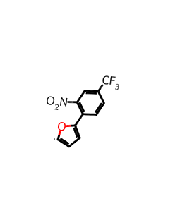 O=[N+]([O-])c1cc(C(F)(F)F)ccc1-c1cc[c]o1